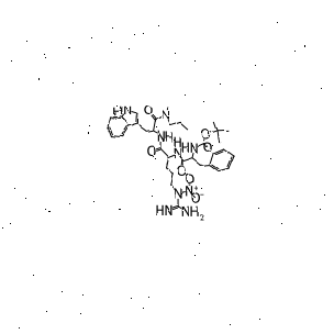 CCCN(C)C(=O)C(Cc1c[nH]c2ccccc12)NC(=O)C(CCCN(C(=N)N)[N+](=O)[O-])NC(=O)C(Cc1ccccc1)NC(=O)OC(C)(C)C